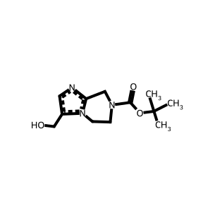 CC(C)(C)OC(=O)N1CCn2c(CO)cnc2C1